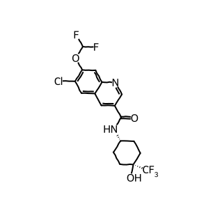 O=C(N[C@H]1CC[C@@](O)(C(F)(F)F)CC1)c1cnc2cc(OC(F)F)c(Cl)cc2c1